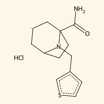 Cl.NC(=O)C12C[CH]CC(CC1)N2Cc1ccsc1